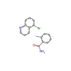 Brc1cccc2ncccc12.Cc1ccccc1C(N)=O